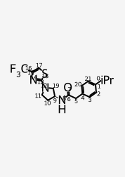 CC(C)c1ccc(CC(=O)N[C@@H]2CCN(c3nc(C(F)(F)F)cs3)C2)cc1